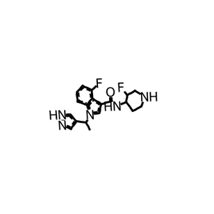 CC(c1cn[nH]c1)n1cc(C(=O)NC2CCNCC2F)c2c(F)cccc21